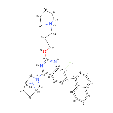 Fc1c(-c2cccc3ccccc23)ccc2c(N3CC4CCC(C3)N4)nc(OCCCN3CCCCC3)nc12